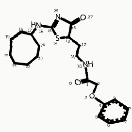 O=C(COc1ccccc1)NCCC1SC(NC2CCCCCCC2)=NC1=O